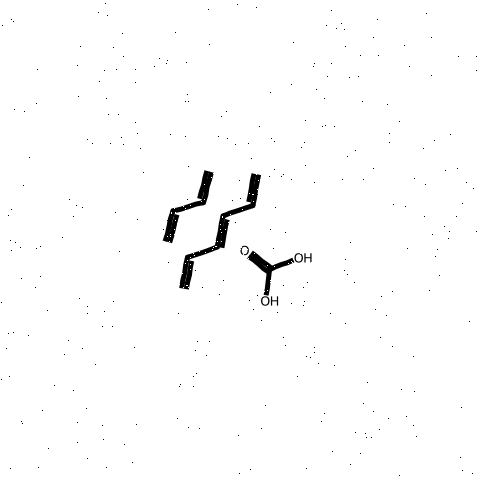 C=CC=C.C=CC=CC=C.O=C(O)O